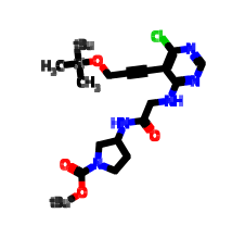 CC(C)(C)OC(=O)N1CCC(NC(=O)CNc2ncnc(Cl)c2C#CCO[Si](C)(C)C(C)(C)C)C1